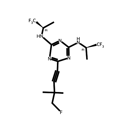 C[C@@H](Nc1nc(C#CC(C)(C)CF)nc(N[C@H](C)C(F)(F)F)n1)C(F)(F)F